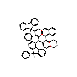 CC1(c2ccccc2)c2ccccc2-c2c(N(c3cccc(C4(c5ccccc5)c5ccccc5-c5ccccc54)c3)c3ccccc3-c3cccc4cccc(C5CCCCC5)c34)cccc21